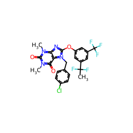 Cn1c(=O)c2c(nc(Oc3cc(C(C)(F)F)cc(C(F)(F)F)c3)n2Cc2ccc(Cl)cc2)n(C)c1=O